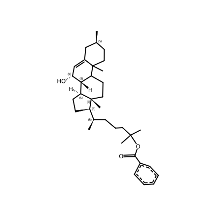 C[C@H]1CCC2(C)C(=C[C@@H](O)[C@@H]3C2CC[C@]2(C)[C@@H]([C@H](C)CCCC(C)(C)OC(=O)c4ccccc4)CC[C@@H]32)C1